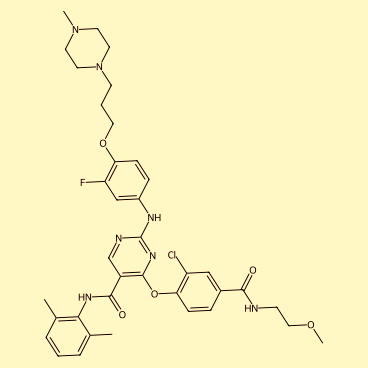 COCCNC(=O)c1ccc(Oc2nc(Nc3ccc(OCCCN4CCN(C)CC4)c(F)c3)ncc2C(=O)Nc2c(C)cccc2C)c(Cl)c1